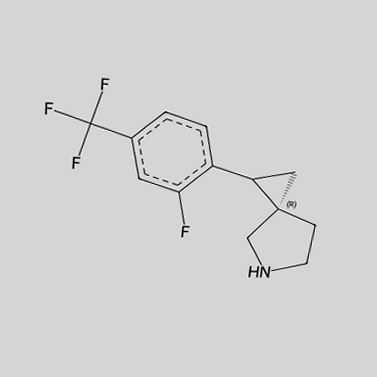 Fc1cc(C(F)(F)F)ccc1C1C[C@@]12CCNC2